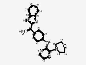 C=C(c1ccc(Oc2nccnc2N2CCOCC2)cc1)c1nc2ccccc2[nH]1